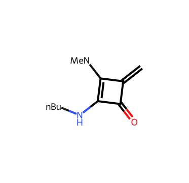 C=C1C(=O)C(NCCCC)=C1NC